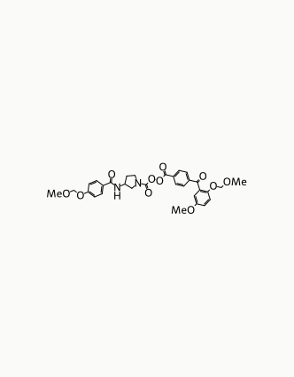 COCOc1ccc(C(=O)NC2CCN(C(=O)OOC(=O)c3ccc(C(=O)c4cc(OC)ccc4OCOC)cc3)C2)cc1